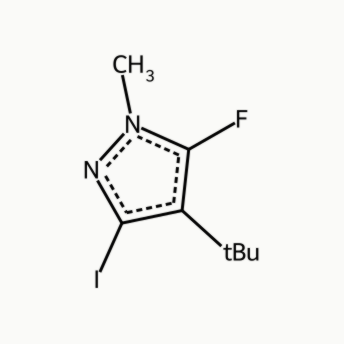 Cn1nc(I)c(C(C)(C)C)c1F